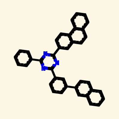 c1ccc(-c2nc(-c3cccc(-c4ccc5ccccc5c4)c3)nc(-c3ccc4c(ccc5ccccc54)c3)n2)cc1